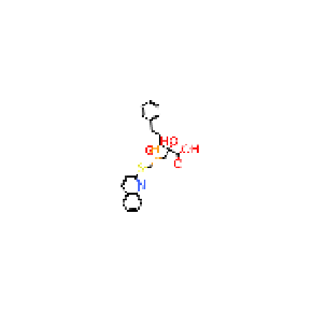 O=C(O)C(O)(CCCc1ccccc1)C[PH](=O)CSc1ccc2ccccc2n1